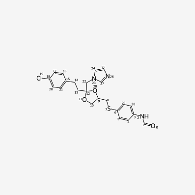 O=CNc1ccc(SCC2COC(CCc3ccc(Cl)cc3)(Cn3ccnc3)O2)cc1